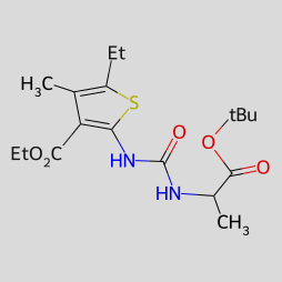 CCOC(=O)c1c(NC(=O)NC(C)C(=O)OC(C)(C)C)sc(CC)c1C